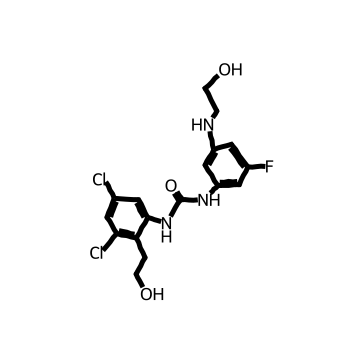 O=C(Nc1cc(F)cc(NCCO)c1)Nc1cc(Cl)cc(Cl)c1CCO